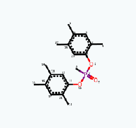 Cc1cc(C)c(OP(C)(=O)Oc2cc(C)c(C)cc2C)cc1C